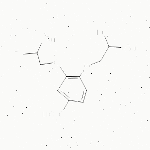 CCCCC(CC)COc1ccc(C(=O)O)cc1OCC(CC)CCCC